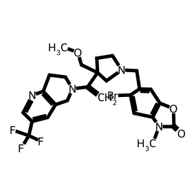 C=C(N1CCc2ncc(C(F)(F)F)cc2C1)C1(COC)CCN(Cc2cc3oc(=O)n(C)c3cc2Br)C1